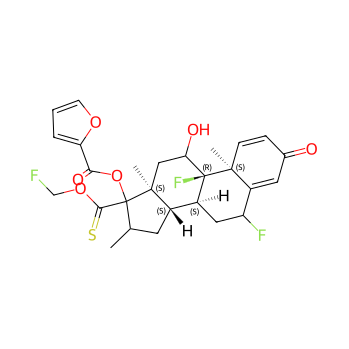 CC1C[C@H]2[C@@H]3CC(F)C4=CC(=O)C=C[C@]4(C)[C@@]3(F)C(O)C[C@]2(C)C1(OC(=O)c1ccco1)C(=S)OCF